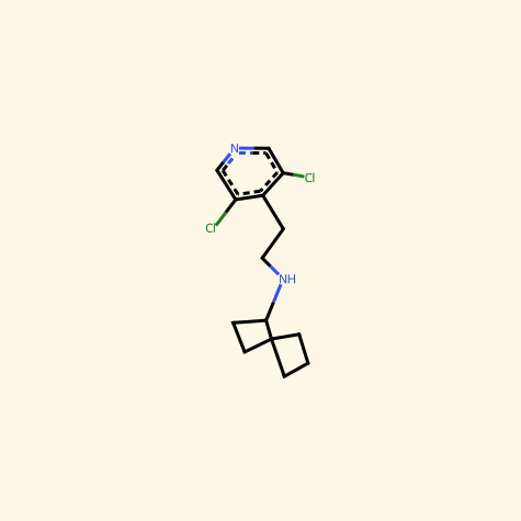 Clc1cncc(Cl)c1CCNC1CCC12CCC2